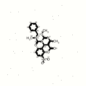 COC1=NC(C)=C(C(=O)O)C(c2cccc([N+](=O)[O-])c2)N1C(=O)N(C)Cc1ccccc1